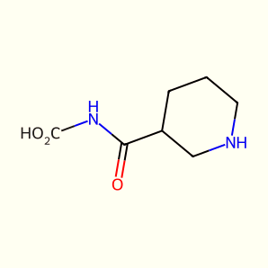 O=C(O)NC(=O)C1CCCNC1